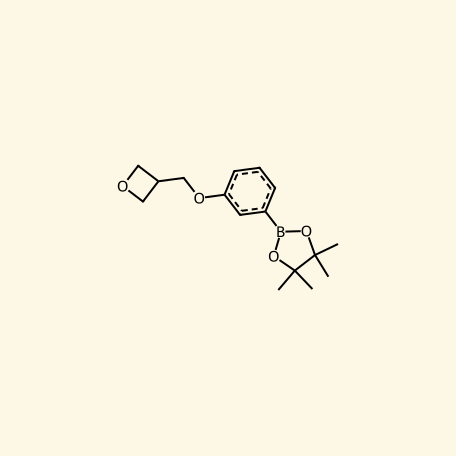 CC1(C)OB(c2cccc(OCC3COC3)c2)OC1(C)C